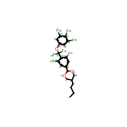 CCCCC1COC(c2cc(F)c(C(F)(F)Oc3cc(F)c(F)c(F)c3)c(F)c2)OC1